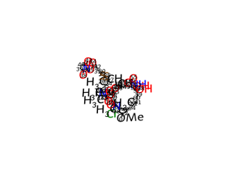 COc1cc2cc(c1Cl)N(C)C(=O)CC(OC(=O)[C@H](C)N(C)C(=O)CCC(C)(C)SSCCCC(=O)ON1C(=O)CCC1=O)[C@@]1(C)O[C@@H]1C(C)C1CC(O)(NC(=O)O1)C(O)/C=C/C=C(\C)C2